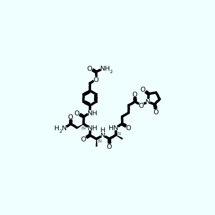 C[C@H](NC(=O)CCCC(=O)ON1C(=O)CCC1=O)C(=O)N[C@@H](C)C(=O)N[C@@H](CC(N)=O)C(=O)Nc1ccc(COC(N)=O)cc1